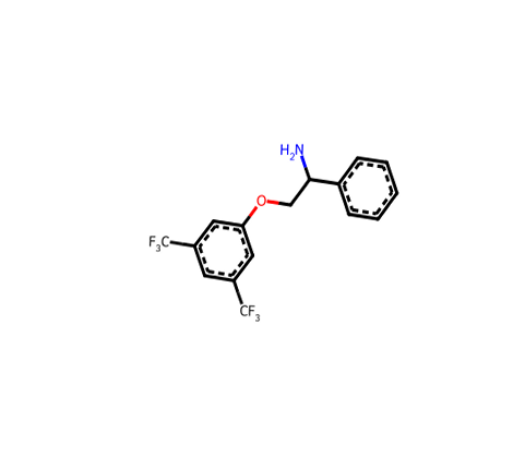 NC(COc1cc(C(F)(F)F)cc(C(F)(F)F)c1)c1ccccc1